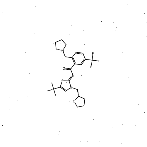 CC(C)(C)c1cn(C[C@H]2CCCO2)c(=NC(=O)c2cc(C(F)(F)F)ccc2CN2CCCC2)s1